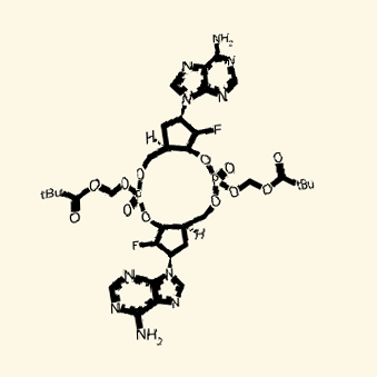 CC(C)(C)C(=O)OCOP1(=O)OC[C@H]2C[C@@H](n3cnc4c(N)ncnc43)C(F)C2OP(=O)(OCOC(=O)C(C)(C)C)OC[C@H]2C[C@@H](n3cnc4c(N)ncnc43)C(F)C2O1